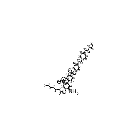 CCCCCCC(C)Oc1cc([N+](=O)[O-])c(-c2ccc(C(=O)Oc3ccc(CCC4CCC(CCCCC)CC4)cc3)cc2)cc1N